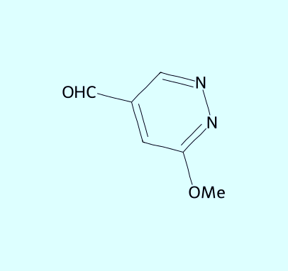 COc1cc(C=O)cnn1